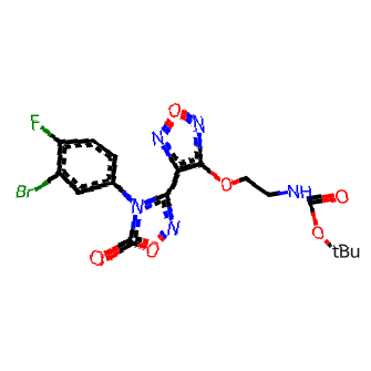 CC(C)(C)OC(=O)NCCOc1nonc1-c1noc(=O)n1-c1ccc(F)c(Br)c1